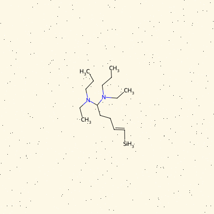 CCCN(CC)C(CCC=C[SiH3])N(CC)CCC